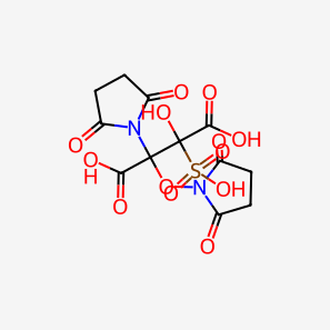 O=C1CCC(=O)N1OC(C(=O)O)(N1C(=O)CCC1=O)C(O)(C(=O)O)S(=O)(=O)O